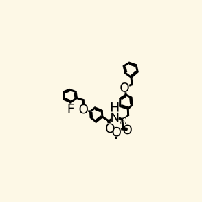 COC(=O)[C@H](Cc1ccc(OCc2ccccc2)cc1)NC(=O)c1ccc(OCc2ccccc2F)cc1